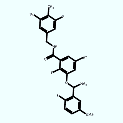 CNc1ccc(F)c(C(N)Oc2cc(C(C)C)cc(C(=O)NCc3cc(F)c(C)c(C(C)C)c3)c2F)c1